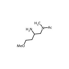 COCCC(N)CN(C)C(C)=O